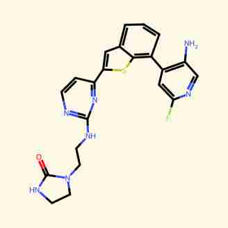 Nc1cnc(F)cc1-c1cccc2cc(-c3ccnc(NCCN4CCNC4=O)n3)sc12